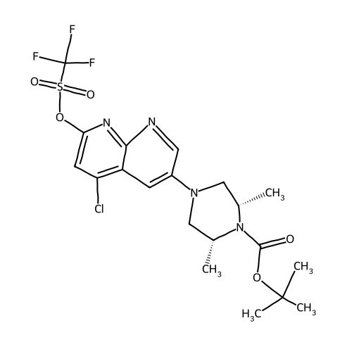 C[C@@H]1CN(c2cnc3nc(OS(=O)(=O)C(F)(F)F)cc(Cl)c3c2)C[C@H](C)N1C(=O)OC(C)(C)C